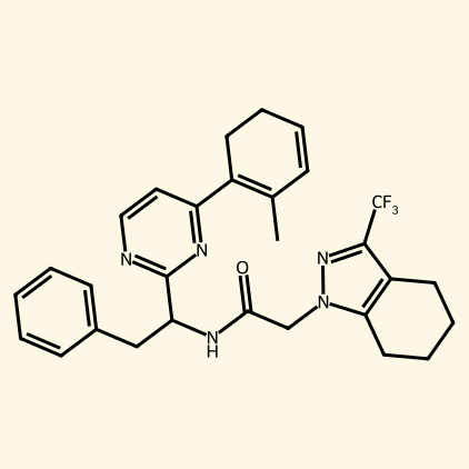 CC1=C(c2ccnc(C(Cc3ccccc3)NC(=O)Cn3nc(C(F)(F)F)c4c3CCCC4)n2)CCC=C1